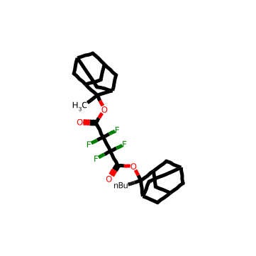 CCCCC1(OC(=O)C(F)(F)C(F)(F)C(=O)OC2(C)C3CC4CC(C3)CC2C4)C2CC3CC(C2)CC1C3